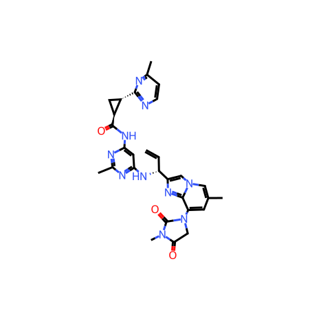 C=C[C@@H](Nc1cc(NC(=O)[C@H]2C[C@@H]2c2nccc(C)n2)nc(C)n1)c1cn2cc(C)cc(N3CC(=O)N(C)C3=O)c2n1